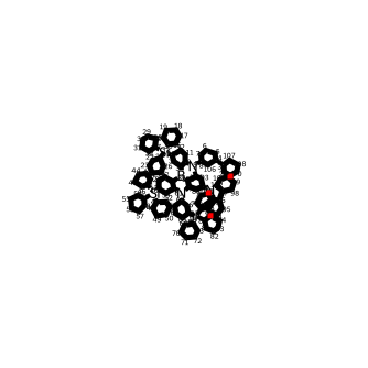 c1ccc(-c2cccc(N3c4ccc([Si](c5ccccc5)(c5ccccc5)c5ccccc5)cc4B4c5ccc([Si](c6ccccc6)(c6ccccc6)c6ccccc6)cc5N(c5cccc([Si](c6ccccc6)(c6ccccc6)c6ccccc6)c5)c5cc(-n6c7ccccc7c7ccccc76)cc3c54)c2)cc1